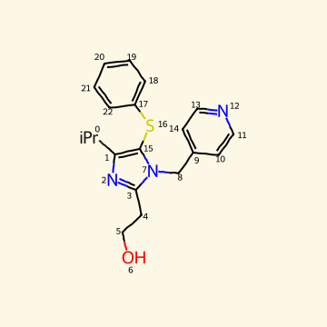 CC(C)c1nc(CCO)n(Cc2ccncc2)c1Sc1ccccc1